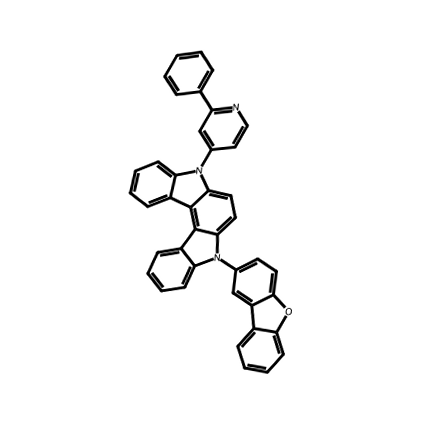 c1ccc(-c2cc(-n3c4ccccc4c4c5c6ccccc6n(-c6ccc7oc8ccccc8c7c6)c5ccc43)ccn2)cc1